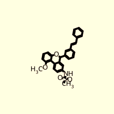 COc1cccc2c1-c1ccc(NS(C)(=O)=O)cc1C(c1cccc(/C=C/c3ccccc3)c1)O2